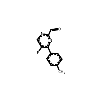 Cc1ccc(-c2nc(C=O)ncc2F)cc1